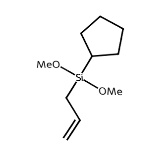 C=CC[Si](OC)(OC)C1CCCC1